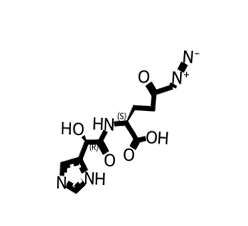 [N-]=[N+]=CC(=O)CC[C@H](NC(=O)[C@H](O)c1cnc[nH]1)C(=O)O